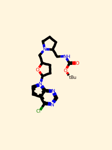 CC(C)(C)OC(=O)NCC1CCCN1CC1CCC(n2ccc3c(Cl)ncnc32)O1